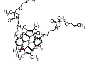 C=CCOCC1(C)CN(CCCCc2ccc(F)[c]([Ti]([C]3=C(C)C(C)=C(C)C3(C)C)([C]3=C(C)C(C)=C(C)C3(C)C)[c]3c(F)ccc(CCCCN4CC(C)(COCC=C)C4=O)c3F)c2F)C1=O